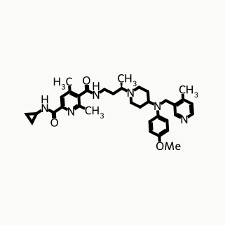 COc1ccc(N(Cc2cnccc2C)C2CCN([C@H](C)CCNC(=O)c3c(C)cc(C(=O)NC4CC4)nc3C)CC2)cc1